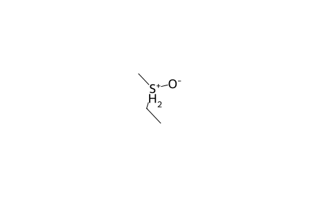 CC[SH2+](C)[O-]